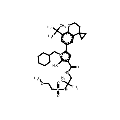 COCCS(=O)(=O)NC(C)(C)CNC(=O)c1cc(-c2cc(C(C)(C)C)c3c(c2)C2(CCO3)CC2)n(CC2CCCCC2)c1C